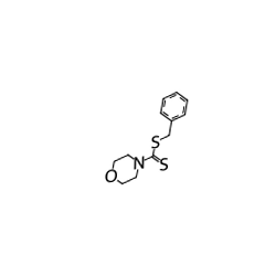 S=C(SCc1ccccc1)N1CCOCC1